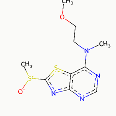 COCCN(C)c1ncnc2nc([S+](C)[O-])sc12